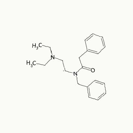 CCN(CC)C[CH]N(Cc1ccccc1)C(=O)Cc1ccccc1